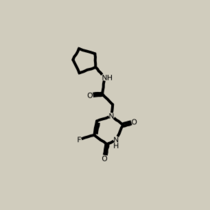 O=C(Cn1cc(F)c(=O)[nH]c1=O)NC1CCCC1